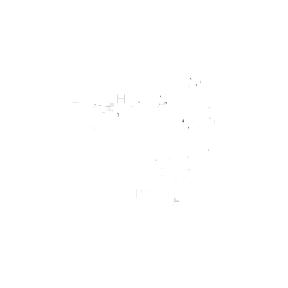 [C-]#[N+]c1ccc(Oc2ccc(Br)c(C=O)c2)nc1NCCO[Si](C)(C)C(C)(C)C